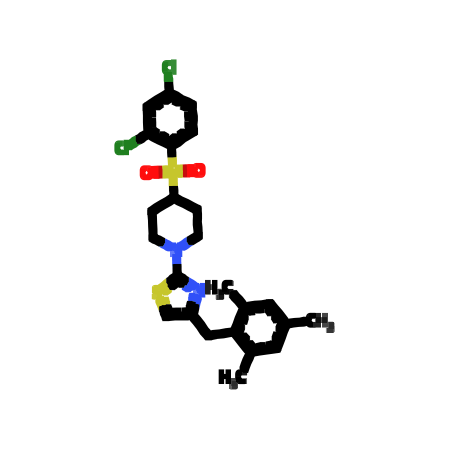 Cc1cc(C)c(Cc2csc(N3CCC(S(=O)(=O)c4ccc(Cl)cc4Cl)CC3)n2)c(C)c1